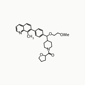 COCCOC(c1ccc(-c2ccc3cccnc3c2C)cc1)C1CCN(C(=O)C2CCCO2)CC1